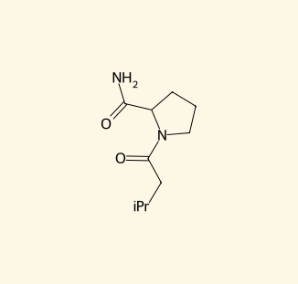 CC(C)CC(=O)N1CCCC1C(N)=O